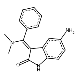 CN(C)/C(=C1\C(=O)Nc2ccc(N)cc21)c1ccccc1